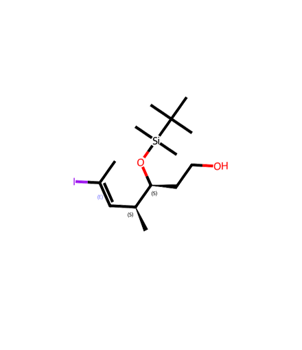 C/C(I)=C\[C@H](C)[C@H](CCO)O[Si](C)(C)C(C)(C)C